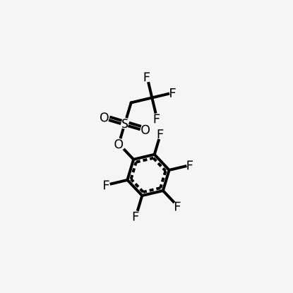 O=S(=O)(CC(F)(F)F)Oc1c(F)c(F)c(F)c(F)c1F